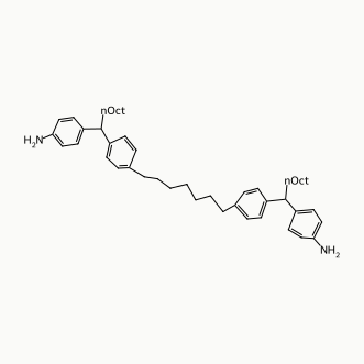 CCCCCCCCC(c1ccc(N)cc1)c1ccc(CCCCCCCc2ccc(C(CCCCCCCC)c3ccc(N)cc3)cc2)cc1